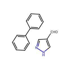 O=Cc1cn[nH]c1.c1ccc(-c2ccccc2)cc1